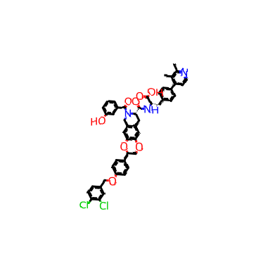 Cc1nccc(-c2ccc(C[C@H](NC(=O)[C@@H]3Cc4cc5c(cc4CN3C(=O)c3cccc(O)c3)OC(c3ccc(OCc4ccc(Cl)c(Cl)c4)cc3)CO5)C(=O)O)cc2)c1C